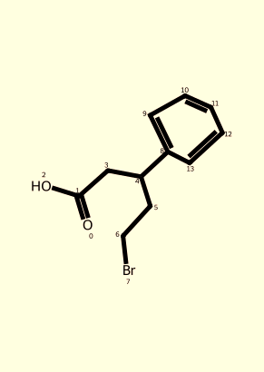 O=C(O)CC(CCBr)c1ccccc1